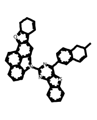 CC1C=Cc2cc(-c3nc(-n4c5cccc6ccc7c8oc9c(c8cc4c7c65)C=CCC9)nc4c3sc3ccccc34)ccc2C1